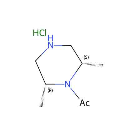 CC(=O)N1[C@H](C)CNC[C@@H]1C.Cl